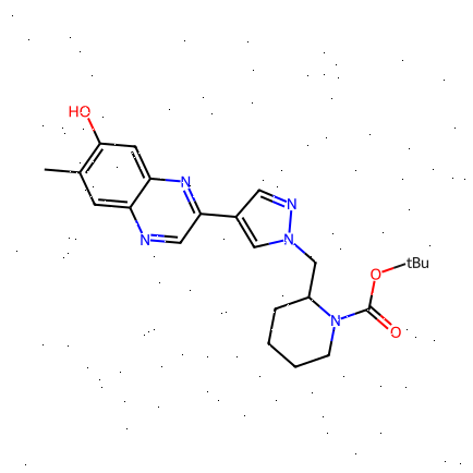 Cc1cc2ncc(-c3cnn(CC4CCCCN4C(=O)OC(C)(C)C)c3)nc2cc1O